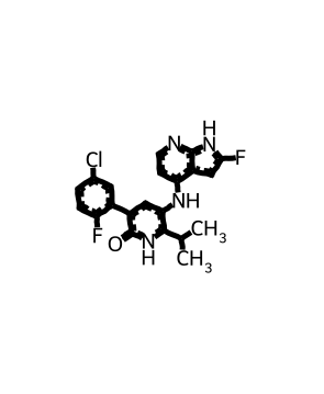 CC(C)c1[nH]c(=O)c(-c2cc(Cl)ccc2F)cc1Nc1ccnc2[nH]c(F)cc12